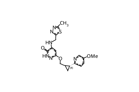 COc1ccc([C@@H]2CC2COc2cc(NCc3nnc(C)s3)c(=O)[nH]n2)nc1